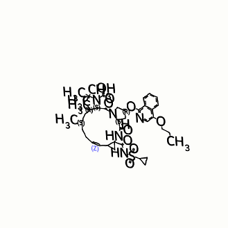 CCCOc1cnc(O[C@@H]2C[C@H]3C(=O)NC4(C(=O)NS(=O)(=O)C5CC5)CC4/C=C\CC[C@H](C)C[C@@H](C)[C@H](N(C(=O)O)C(C)(C)C)C(=O)N3C2)c2ccccc12